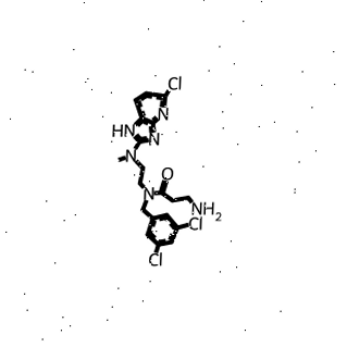 CN(CCN(Cc1cc(Cl)cc(Cl)c1)C(=O)CCN)c1nc2nc(Cl)ccc2[nH]1